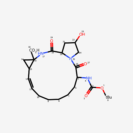 CC(C)(C)OC(=O)NC1CCCCC/C=C\C2CC2(C(=O)O)NC(=O)C2CC(O)CN2C1=O